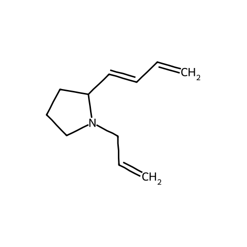 C=C/C=C/C1CCCN1CC=C